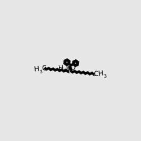 CCCCCCCCCCCCN(CCCCCCCCCCCC)C(N)=O.c1ccc(Cc2ccccc2)cc1